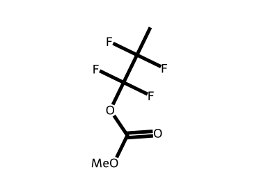 COC(=O)OC(F)(F)C(C)(F)F